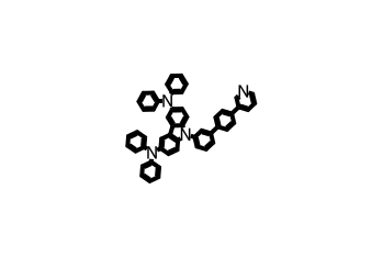 c1ccc(N(c2ccccc2)c2ccc3c(c2)c2cc(N(c4ccccc4)c4ccccc4)ccc2n3-c2cccc(-c3ccc(-c4cccnc4)cc3)c2)cc1